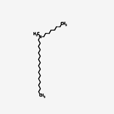 CCCCCCCCCCCCCCCCCCN(C)CCCCCCCC